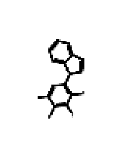 Fc1cc([C]2C=Cc3ccccc32)c(F)c(F)c1F